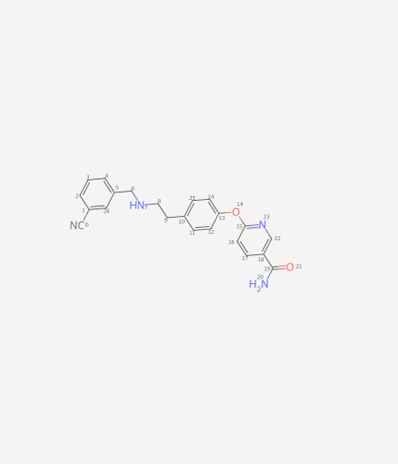 N#Cc1cccc(CNCCc2ccc(Oc3ccc(C(N)=O)cn3)cc2)c1